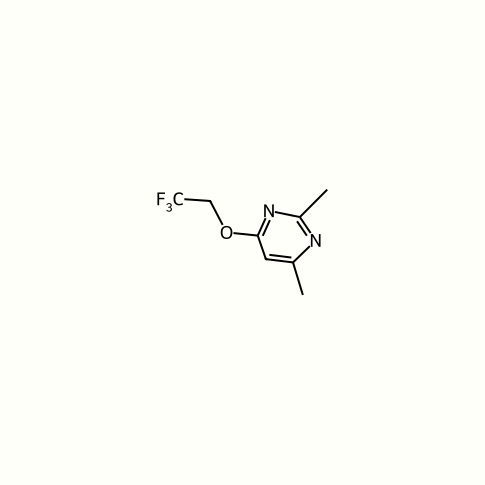 Cc1cc(OCC(F)(F)F)nc(C)n1